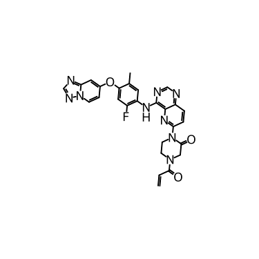 C=CC(=O)N1CCN(c2ccc3ncnc(Nc4cc(C)c(Oc5ccn6ncnc6c5)cc4F)c3n2)C(=O)C1